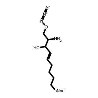 CCCCCCCCCCCCCC=CC(O)C(N)CON=[N+]=[N-]